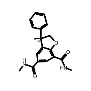 CNC(=O)c1cc(C(=O)NC)c2c(c1)[C@](C)(c1ccccc1)CO2